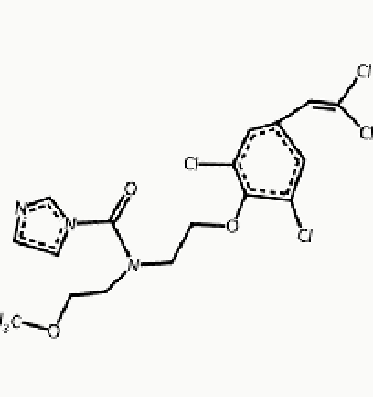 COCCN(CCOc1c(Cl)cc(C=C(Cl)Cl)cc1Cl)C(=O)n1ccnc1